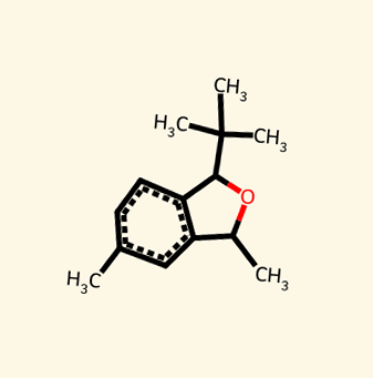 Cc1ccc2c(c1)C(C)OC2C(C)(C)C